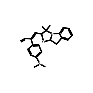 C=CC(=CC1OC2Cc3ccccc3N2C1(C)C)c1ccc(N(C)C)cc1